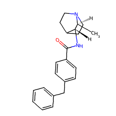 C[C@H]1[C@H](NC(=O)c2ccc(Cc3ccccc3)cc2)C2CCN1CC2